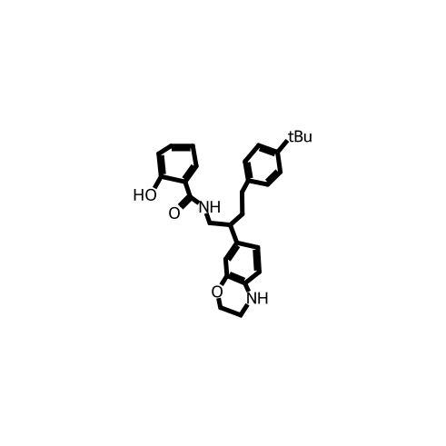 CC(C)(C)c1ccc(CCC(CNC(=O)c2ccccc2O)c2ccc3c(c2)OCCN3)cc1